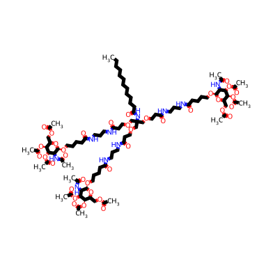 CCCCCCCCCCCCC(=O)NC(COCCC(=O)NCCCNC(=O)CCCCO[C@@H]1OC(COC(C)=O)[C@H](OC(C)=O)C(OC(C)=O)C1NC(C)=O)(COCCC(=O)NCCCNC(=O)CCCCO[C@@H]1OC(COC(C)=O)[C@H](OC(C)=O)C(OC(C)=O)C1NC(C)=O)COCCC(=O)NCCCNC(=O)CCCCO[C@@H]1OC(COC(C)=O)[C@H](OC(C)=O)C(OC(C)=O)C1NC(C)=O